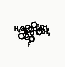 CN(C)CC1CCCCC1(Cc1ccccc1F)OC(=O)C(=O)OC1(Cc2ccccc2F)CCCCC1CN(C)C